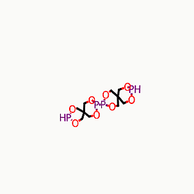 C1OPOCC12COP(P1OCC3(COPOC3)CO1)OC2